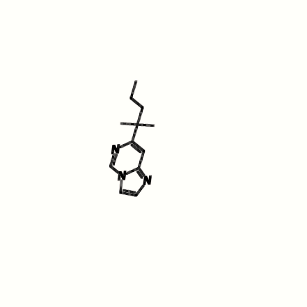 CCCC(C)(C)c1cc2nccn2cn1